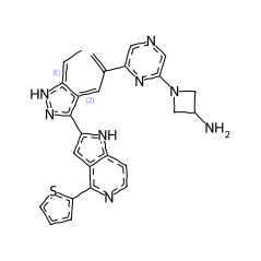 C=C(/C=c1/c(-c2cc3c(-c4cccs4)nccc3[nH]2)n[nH]/c1=C/C)c1cncc(N2CC(N)C2)n1